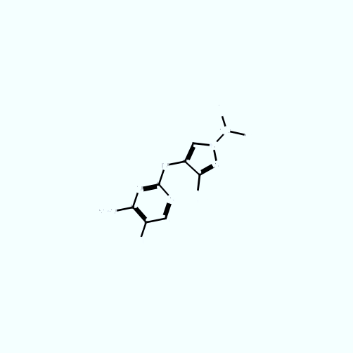 CNc1nc(Nc2cn([S+]([O-])C(C)C)nc2C)ncc1C(F)(F)F